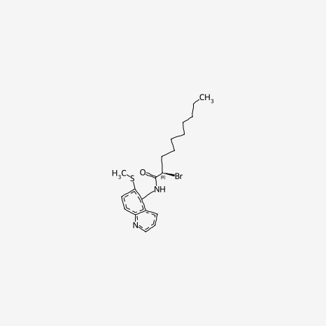 CCCCCCCC[C@@H](Br)C(=O)Nc1c(SC)ccc2ncccc12